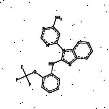 Nc1cc(-n2c(Nc3ccccc3OC(F)(F)F)nc3ccccc32)ncn1